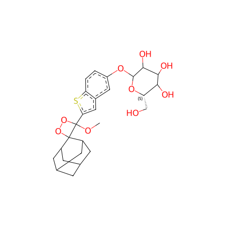 COC1(c2cc3cc(OC4O[C@@H](CO)C(O)C(O)C4O)ccc3s2)OOC12C1CC3CC(C1)CC2C3